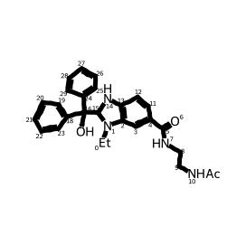 CCN1c2cc(C(=O)NCCNC(C)=O)ccc2NC1C(O)(c1ccccc1)c1ccccc1